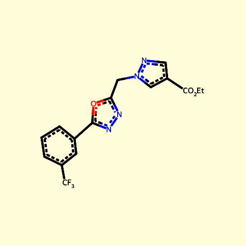 CCOC(=O)c1cnn(Cc2nnc(-c3cccc(C(F)(F)F)c3)o2)c1